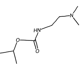 CC(C)OC(=O)NCCN(C)C